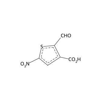 O=Cc1sc([N+](=O)[O-])cc1C(=O)O